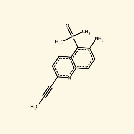 CC#Cc1ccc2c(P(C)(C)=O)c(N)ccc2n1